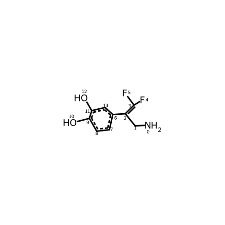 NCC(=C(F)F)c1ccc(O)c(O)c1